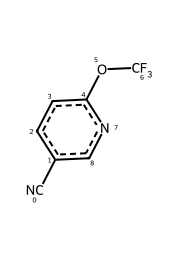 N#Cc1ccc(OC(F)(F)F)nc1